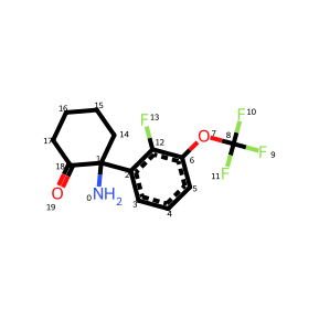 NC1(c2cccc(OC(F)(F)F)c2F)CCCCC1=O